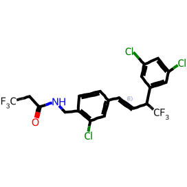 O=C(CC(F)(F)F)NCc1ccc(/C=C/C(c2cc(Cl)cc(Cl)c2)C(F)(F)F)cc1Cl